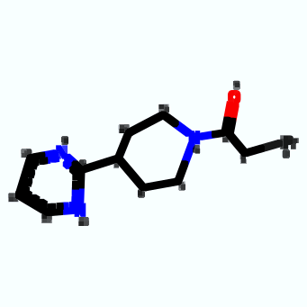 CC(C)CC(=O)N1CCC(c2ncccn2)CC1